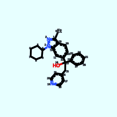 CCc1nn(C2CCCCC2)c2cc(C(O)(Cc3ccncc3)c3ccccc3)ccc12